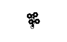 O=Cc1ccccc1-c1ccccc1.c1ccc2c(c1)[nH]c1ccccc12